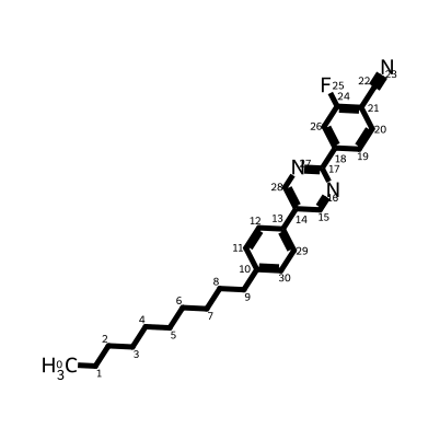 CCCCCCCCCCc1ccc(-c2cnc(-c3ccc(C#N)c(F)c3)nc2)cc1